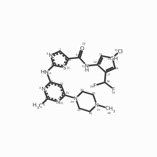 Cc1nc(Nc2ncc(C(=O)NC3=C[SH](Cl)C=C3C(F)F)s2)cc(N2CCN(C)CC2)n1